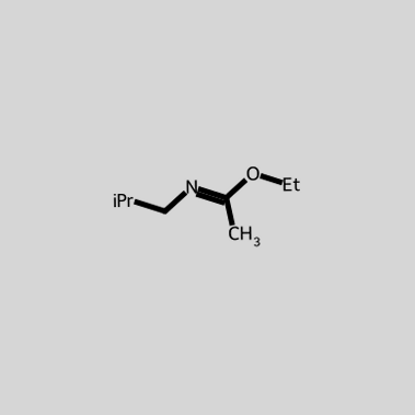 CCO/C(C)=N/CC(C)C